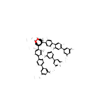 Cc1cc(-c2cc(-n3c4cc(-c5cc(C(F)(F)F)cc(C(F)(F)F)c5)ccc4c4ccc(-c5cc(C(F)(F)F)cc(C(F)(F)F)c5)cc43)c(C#N)c(-n3c4cc(-c5cc(C(F)(F)F)cc(C(F)(F)F)c5)ccc4c4ccc(-c5cc(C(F)(F)F)cc(C(F)(F)F)c5)cc43)c2)cc(C)n1